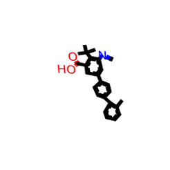 C=Nc1cc(-c2ccc(-c3ccccc3C)cc2)cc(C(=O)O)c1C(C)(C)C